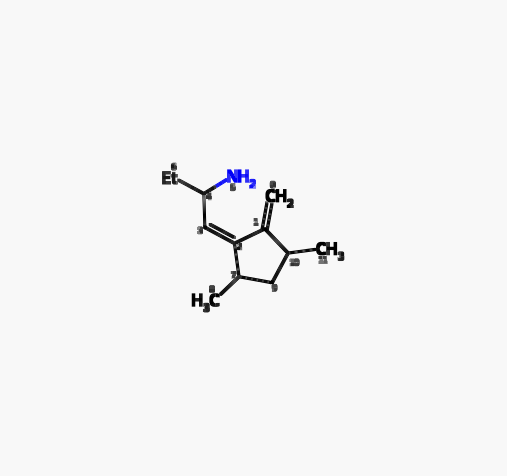 C=C1/C(=C\C(N)CC)C(C)CC1C